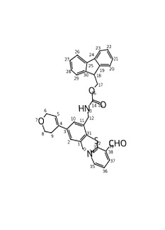 Cc1cc(C2=CCOCC2)cc(CNC(=O)OCC2c3ccccc3-c3ccccc32)c1Sc1ncccc1C=O